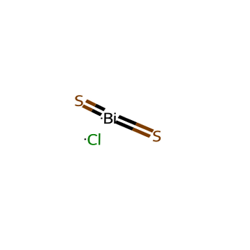 [Cl].[S]=[Bi]=[S]